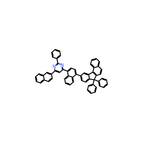 c1ccc(-c2nc(-c3ccc4ccccc4c3)cc(-c3ccc(-c4ccc5c(c4)-c4c(ccc6ccccc46)C5(c4ccccc4)c4ccccc4)c4ccccc34)n2)cc1